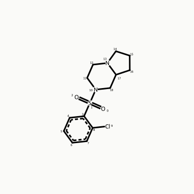 O=S(=O)(c1ccccc1Cl)N1CCN2CCCC2C1